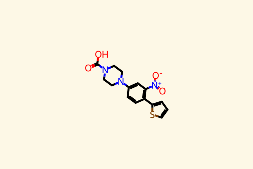 O=C(O)N1CCN(c2ccc(-c3cccs3)c([N+](=O)[O-])c2)CC1